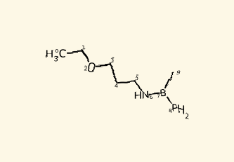 CCOCCCNB(P)I